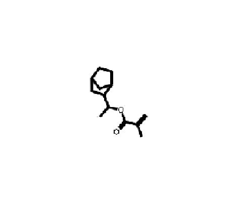 [CH2]C(OC(=O)C(=C)C)C1CC2CCC1C2